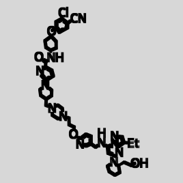 CCc1cnn2c(NCc3ccc(OCCCN4CCN(CC5CCN(c6ccc(C(=O)N[C@H]7CC[C@H](Oc8ccc(C#N)c(Cl)c8)CC7)nc6)CC5)CC4)nc3)cc(N3CCCC[C@@H]3CCO)nc12